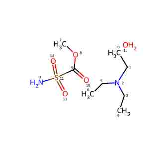 CCN(CC)CC.COC(=O)S(N)(=O)=O.O